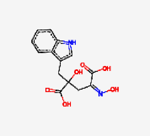 O=C(O)/C(CC(O)(Cc1c[nH]c2ccccc12)C(=O)O)=N\O